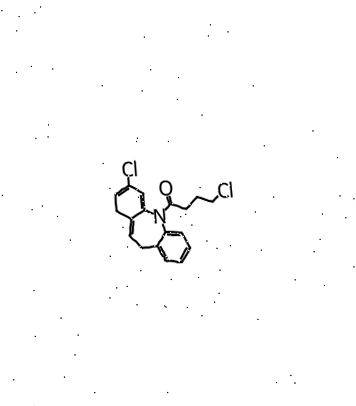 O=C(CCCCl)N1C2=CC(Cl)=CCC2=CCc2ccccc21